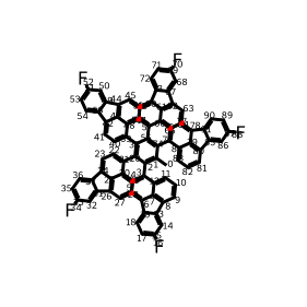 Cc1c(-c2ccc3c4c(cccc24)-c2cc(F)ccc2-3)c(-c2ccc3c4c(cccc24)-c2cc(F)ccc2-3)c(-c2ccc3c4c(cccc24)-c2cc(F)ccc2-3)c(-c2ccc3c4c(cccc24)-c2cc(F)ccc2-3)c1-c1ccc2c3c(cccc13)-c1cc(F)ccc1-2